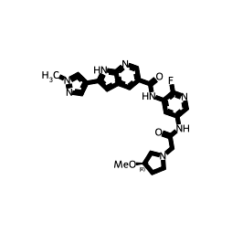 CO[C@@H]1CCN(CC(=O)Nc2cnc(F)c(NC(=O)c3cnc4[nH]c(-c5cnn(C)c5)cc4c3)c2)C1